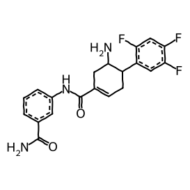 NC(=O)c1cccc(NC(=O)C2=CCC(c3cc(F)c(F)cc3F)C(N)C2)c1